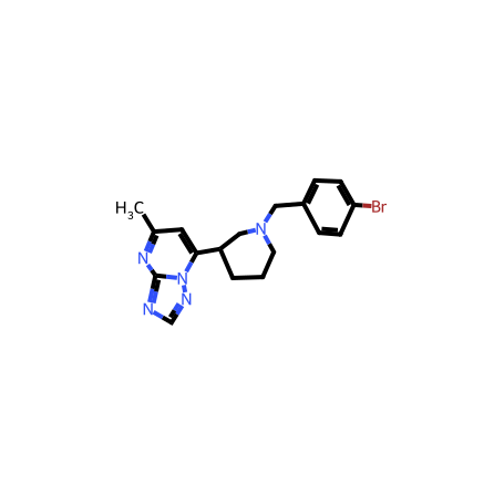 Cc1cc(C2CCCN(Cc3ccc(Br)cc3)C2)n2ncnc2n1